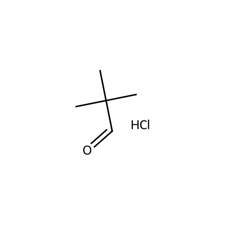 CC(C)(C)C=O.Cl